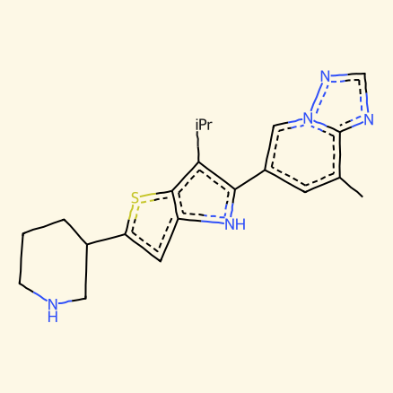 Cc1cc(-c2[nH]c3cc(C4CCCNC4)sc3c2C(C)C)cn2ncnc12